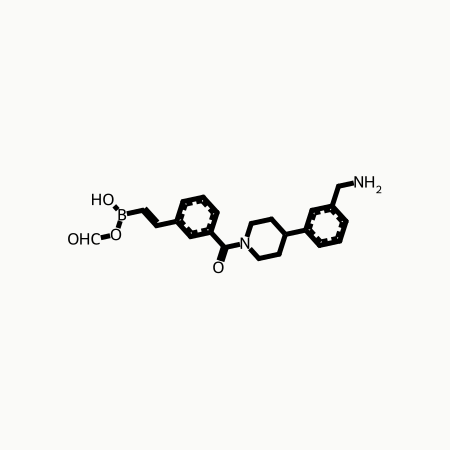 NCc1cccc(C2CCN(C(=O)c3cccc(/C=C/B(O)OC=O)c3)CC2)c1